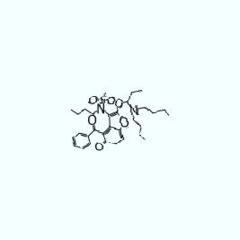 CCCCN(CCCC)C(CC)Oc1oc2c(c1N(CCCC)S(C)(=O)=O)=C(C(=O)c1ccccc1)C(=O)CC=2